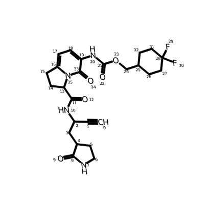 C#CC(CC1CCNC1=O)NC(=O)C1CCc2ccc(NC(=O)OCC3CCC(F)(F)CC3)c(=O)n21